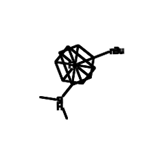 CCCC[C]12[CH]3[CH]4[C]5([SiH](C)C)[CH]1[Fe]34251678[CH]2[CH]1[CH]6[CH]7[CH]28